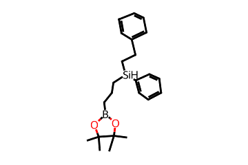 CC1(C)OB(CCC[SiH](CCc2ccccc2)c2ccccc2)OC1(C)C